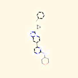 c1ccc(C[C@@H]2C[C@H]2c2nnc3cc(-c4ccnc(NC5CCOCC5)n4)ccn23)cc1